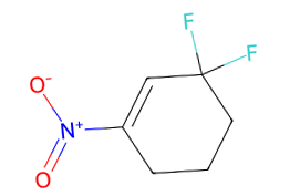 O=[N+]([O-])C1=CC(F)(F)CCC1